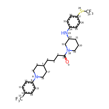 O=C(CCCC1CCN(c2ccc(C(F)(F)F)cc2)CC1)N1CCC[C@H](Nc2ccc(SC(F)(F)F)cc2)C1